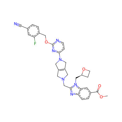 COC(=O)c1ccc2nc(CN3CC4=C(C3)CN(c3ccnc(OCc5ccc(C#N)cc5F)n3)C4)n(C[C@@H]3CCO3)c2c1